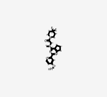 CCCOc1ccnc(-c2nc3c(c(N(C)CC(=O)N4CCC(F)(F)CC4)n2)CCC3)c1